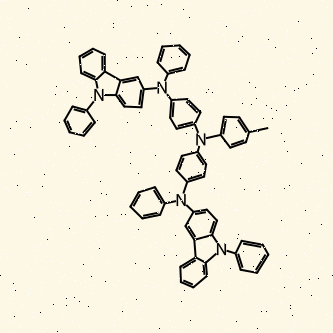 Cc1ccc(N(c2ccc(N(c3ccccc3)c3ccc4c(c3)c3ccccc3n4-c3ccccc3)cc2)c2ccc(N(c3ccccc3)c3ccc4c(c3)c3ccccc3n4-c3ccccc3)cc2)cc1